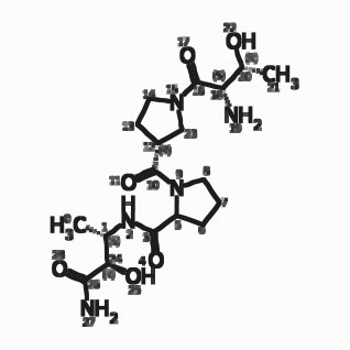 C[C@H](NC(=O)C1CCCN1C(=O)[C@@H]1CCN(C(=O)[C@@H](N)[C@@H](C)O)C1)[C@@H](O)C(N)=O